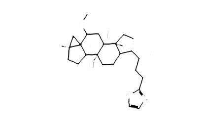 COC1C[C@H]2[C@@H]3CC[C@H]([C@H](C)CCc4ncco4)[C@@]3(C)CC[C@@H]2[C@@]2(C)CC[C@@H]3CC132